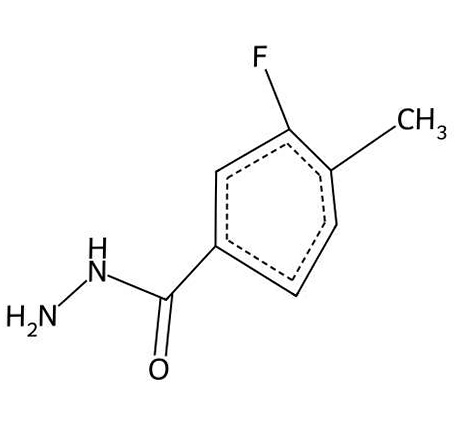 Cc1ccc(C(=O)NN)cc1F